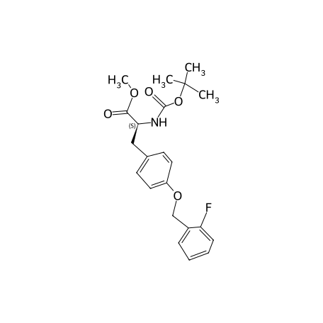 COC(=O)[C@H](Cc1ccc(OCc2ccccc2F)cc1)NC(=O)OC(C)(C)C